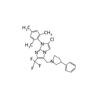 Cc1cc(C)c(-n2c(Cl)cn3c(CN4CCC(c5ccccc5)C4)c(C(F)(F)F)nc23)c(C)c1